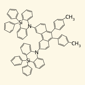 Cc1ccc(-c2c(-c3ccc(C)cc3)c3ccc(N4c5ccccc5[Si](c5ccccc5)(c5ccccc5)c5ccccc54)cc3c3cc(N4c5ccccc5[Si](c5ccccc5)(c5ccccc5)c5ccccc54)ccc23)cc1